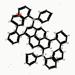 c1ccc(B(c2ccccc2)c2cc(-c3ccccc3-c3ccccc3)c3ccc4c(B(c5ccccc5)c5ccccc5)cc(-c5ccccc5-c5ccccc5)c5ccc2c3c45)cc1